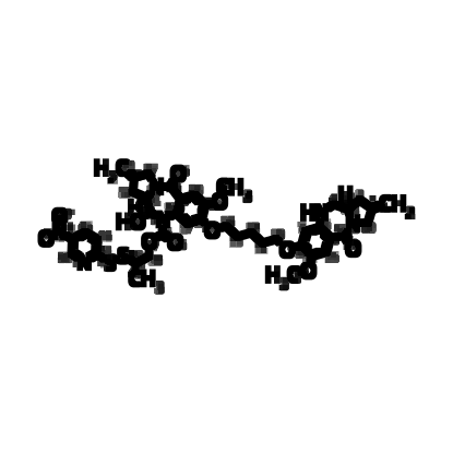 C=C1C[C@H]2CNc3cc(OCCCCCOc4cc5c(cc4OC)C(=O)N4CC(=C)C[C@H]4[C@H](O)N5C(=O)OC[C@@H](C)SSc4ccc([N+](=O)[O-])cn4)c(OC)cc3C(=O)N2C1